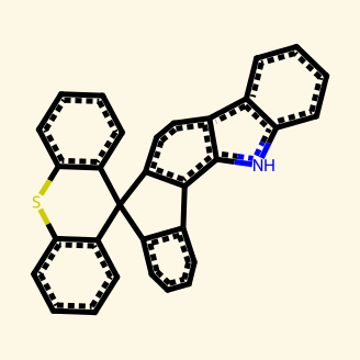 c1ccc2c(c1)Sc1ccccc1C21c2ccccc2-c2c1ccc1c2[nH]c2ccccc21